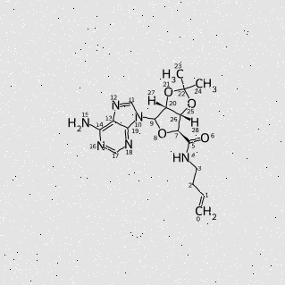 C=CCCNC(=O)[C@H]1OC(n2cnc3c(N)ncnc32)[C@@H]2OC(C)(C)O[C@H]12